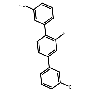 Fc1cc(-c2cccc(Cl)c2)ccc1-c1cc[c]c(C(F)(F)F)c1